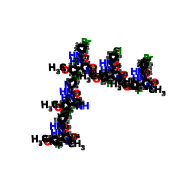 COc1cc(F)c(C2CN(C)C(=O)CC2NC(=O)Nc2ccc(Br)cc2)c(F)c1.COc1cc(F)c(C2CN(C)C(=O)CC2NC(=O)Nc2ccc(Cl)cc2)c(F)c1.COc1cc(F)c(C2CNCCC2NC(=O)Nc2ccc(Cl)cn2)c(F)c1.COc1ccc(C2CN(C)C(=O)CC2NC(=O)Nc2ccc(Br)cc2)c(F)c1.COc1ccc(C2CN(C)C(=O)CC2NC(=O)Nc2ccc(Cl)cc2)c(F)c1